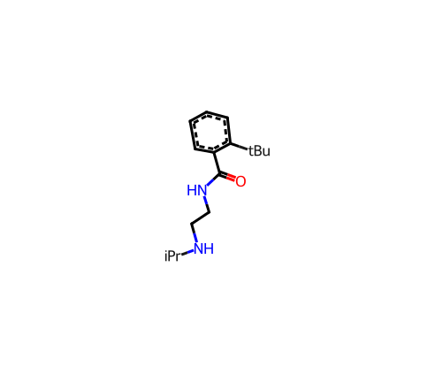 CC(C)NCCNC(=O)c1ccccc1C(C)(C)C